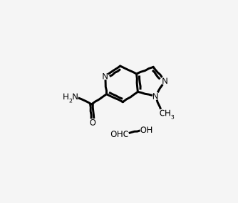 Cn1ncc2cnc(C(N)=O)cc21.O=CO